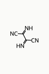 N#CC(=N)C(=N)C#N